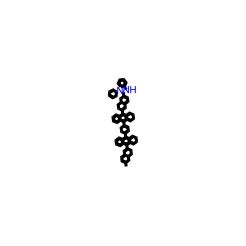 CC1=CC=C2C=C(c3c4c(c(C5=CC=C(c6c7c(c(C8=CC9=CC=C(C%10Nc%11ccccc%11N%10C%10C=CC=CC%10)CC9CC8)c8ccccc68)=CCCC=7)CC5)c5ccccc35)=CCCC=4)CCC2C1